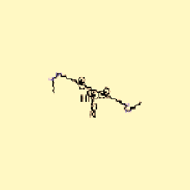 CCCCC/C=C\C/C=C\CCCCCCCC(=O)OCCCC(CCCOC(=O)CCCCCCC/C=C\C/C=C\CCCCC)OC(=O)NCCOCCN(C)C